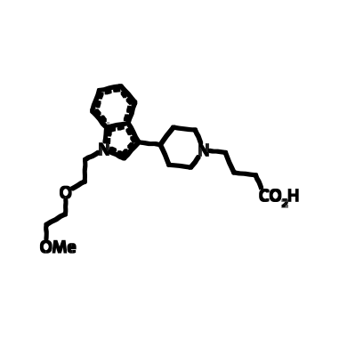 COCCOCCn1cc(C2CCN(CCCC(=O)O)CC2)c2ccccc21